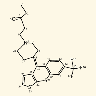 CCC(=O)CCN1CCC(=C2c3ccc(C(F)(F)F)cc3Sc3sccc32)CC1